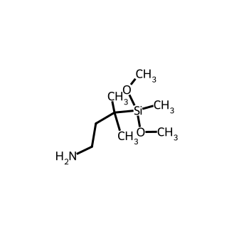 CO[Si](C)(OC)C(C)(C)CCN